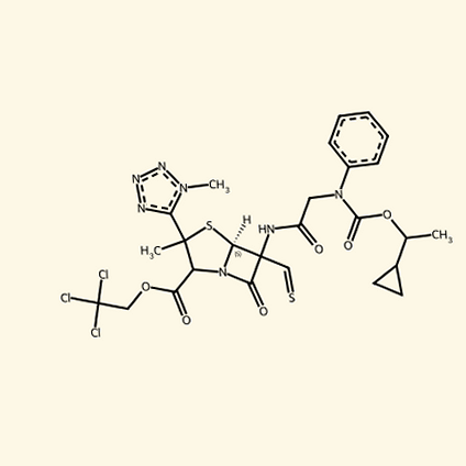 CC(OC(=O)N(CC(=O)NC1(C=S)C(=O)N2C(C(=O)OCC(Cl)(Cl)Cl)C(C)(c3nnnn3C)S[C@H]21)c1ccccc1)C1CC1